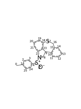 Cc1ccc([S@+]([O-])/N=C/C2c3ccccc3CSc3ccccc32)cc1